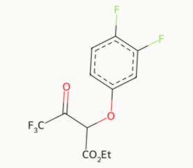 CCOC(=O)C(Oc1ccc(F)c(F)c1)C(=O)C(F)(F)F